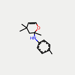 Cc1ccc(NC2(C)CC(C)(C)C=CO2)cc1